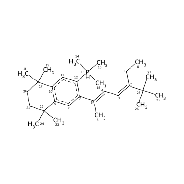 CC/C(=C\C=C(/C)c1cc2c(cc1[PH](C)(C)C)C(C)(C)CCC2(C)C)C(C)(C)C